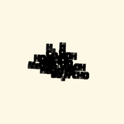 CO[C@@H]1C(COS(=O)(=O)O)O[C@@H](O[C@@H]2C(C(=O)O)O[C@@H](OC3[C@@H](O)[C@H](C=O)O[C@@H]3COS(=O)(=O)O)C(O)[C@H]2O)C(C)[C@H]1O